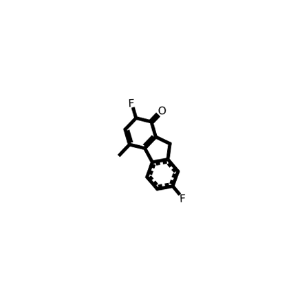 CC1=CC(F)C(=O)C2=C1c1ccc(F)cc1C2